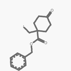 O=C1CCC(CI)(C(=O)OCc2ccccc2)CC1